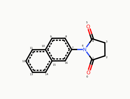 O=C1CCC(=O)N1c1ccc2ccccc2c1